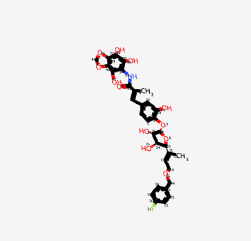 C/C(=C\c1ccc(O[C@@H]2O[C@H](/C(C)=C/COCc3ccc(F)cc3)[C@@H](O)[C@@H]2O)c(O)c1)C(=O)Nc1c(O)c(O)c2c(c1O)OCO2